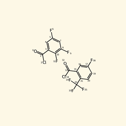 O=C(Cl)c1cc(F)cc(F)c1F.O=C(Cl)c1cc(F)ccc1C(F)(F)F